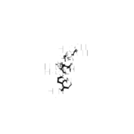 CC(C)(C)CO[P@@]1(=O)OC[C@H]2O[C@@H](c3ccc4c(N)ccnn34)[C@](C)(N)[C@@H]2O1